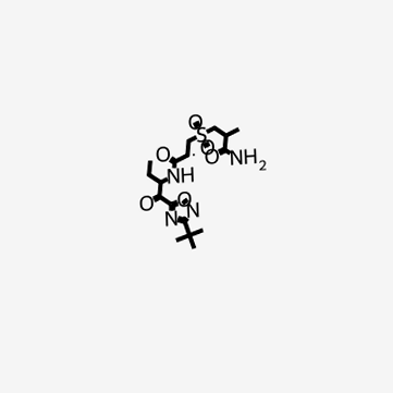 CCC(NC(=O)[CH]CS(=O)(=O)CC(C)C(N)=O)C(=O)c1nc(C(C)(C)C)no1